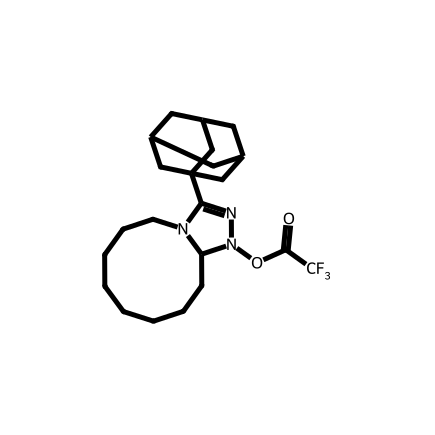 O=C(ON1N=C(C23CC4CC(CC(C4)C2)C3)N2CCCCCCCCC12)C(F)(F)F